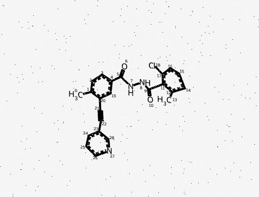 Cc1ccc(C(=O)NNC(=O)c2c(C)cccc2Cl)cc1C#Cc1cccnc1